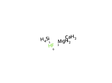 F.[CaH2].[MgH2].[SiH4]